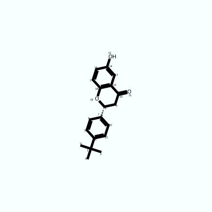 CC(C)(C)c1ccc([C@H]2CC(=O)c3cc(O)ccc3O2)cc1